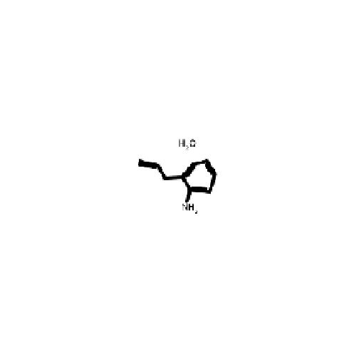 C=CCc1ccccc1N.O